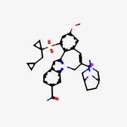 COc1cc2c(c(S(=O)(=O)C3(CC4CC4)CC3)c1)-c1cc3ccc(C(N)=O)cc3n1CC(C(=O)N1C3CCC1CN(C)C3)=C2